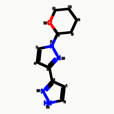 c1cc(-c2ccn(C3CCCCO3)n2)n[nH]1